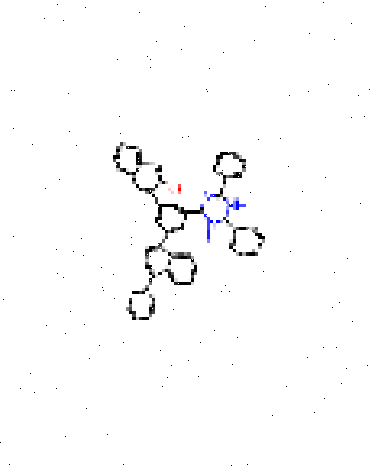 c1ccc(C2=NC(c3cc(-c4ccc(-c5ccccc5)c5ccccc45)cc4c3oc3cc5ccccc5cc34)NC(c3ccccc3)N2)cc1